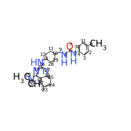 Cc1ccc(NC(=O)NCC2CCC(Nc3nc(N(C)C)c4ccccc4n3)CC2)cc1